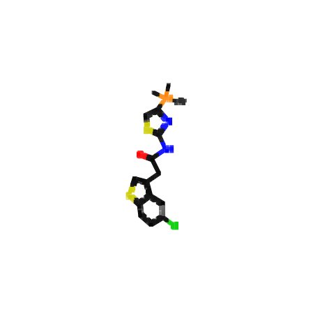 CCC[PH](C)(C)c1csc(NC(=O)Cc2csc3ccc(Cl)cc23)n1